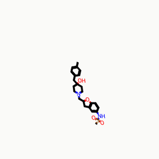 Cc1ccc(CC2(O)CCN(CC3Cc4cc(NS(C)(=O)=O)ccc4O3)CC2)cc1